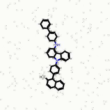 CC1C=CC2C=CC=CC2C1C1=CC=C(N2C3=CC=CCC3C3=C(NC4CC=C(C5=CC=CCC5)CC4)C=CCC32)CC1